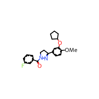 COc1ccc(C2=NN(C(=O)c3cccc(F)c3)CC2)cc1OC1CCCC1